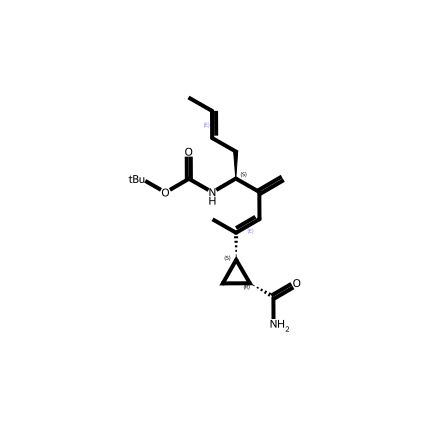 C=C(/C=C(\C)[C@H]1C[C@H]1C(N)=O)[C@H](C/C=C/C)NC(=O)OC(C)(C)C